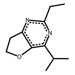 CCc1nc2c(c(C(C)C)n1)OCC2